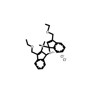 CCOCC1=C[C]2([Zr+2][CH]3C(=C(COCC)c4ccccc43)[Si]2(C)C)c2ccccc21.[Cl-].[Cl-]